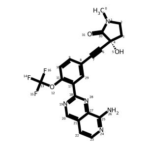 CN1CC[C@@](O)(C#Cc2ccc(OC(F)(F)F)c(-c3ncc4ccnc(N)c4n3)c2)C1=O